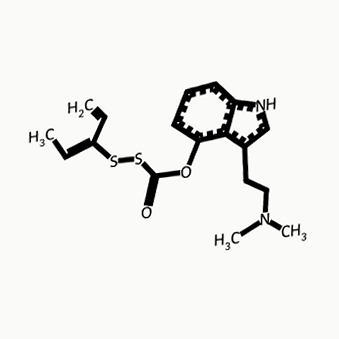 C=C/C(=C\C)SSC(=O)Oc1cccc2[nH]cc(CCN(C)C)c12